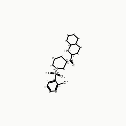 O=C(C1CCC2CCCCC2N1)[C@H]1CCCN(S(=O)(=O)c2ccccc2Cl)C1